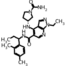 CCC(NC(=O)c1cnc2c(cnn2CC)c1N[C@@H]1CCN(C(N)=O)C1)c1ccc(C)cc1C